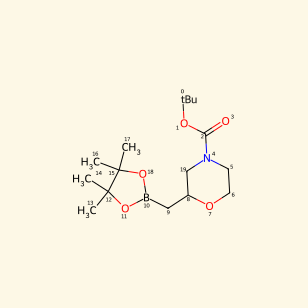 CC(C)(C)OC(=O)N1CCOC(CB2OC(C)(C)C(C)(C)O2)C1